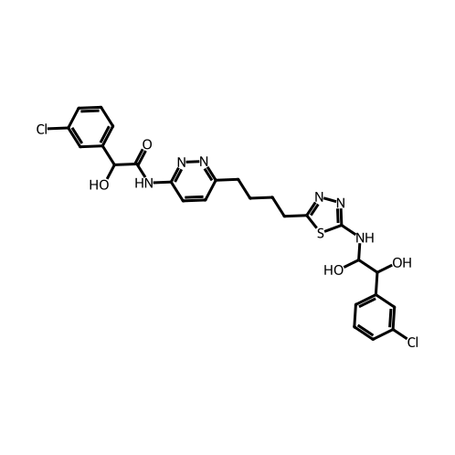 O=C(Nc1ccc(CCCCc2nnc(NC(O)C(O)c3cccc(Cl)c3)s2)nn1)C(O)c1cccc(Cl)c1